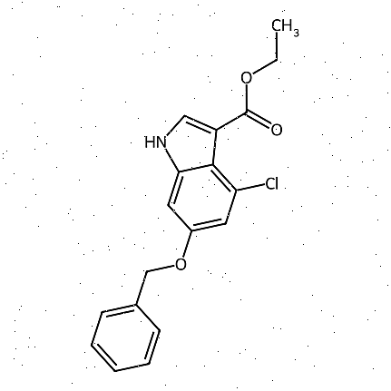 CCOC(=O)c1c[nH]c2cc(OCc3ccccc3)cc(Cl)c12